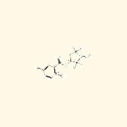 CC1(C)CC(OC(=O)c2cc(I)ccc2Br)C(C)(C)N1O